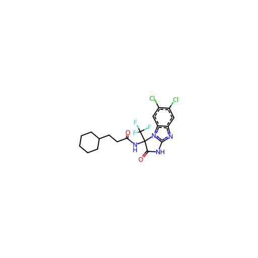 O=C(CCC1CCCCC1)NC1(C(F)(F)F)C(=O)Nc2nc3cc(Cl)c(Cl)cc3n21